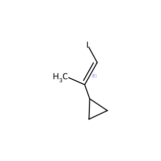 C/C(=C\I)C1CC1